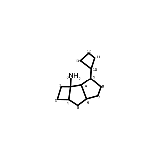 NC12CCC1CC1CCC(C3CCC3)C12